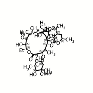 CC[C@H]1CN(C)[C@H](C)[C@@H](O)[C@H](O)[C@@H](CC)OC(=O)[C@H](C)[C@@H](O[C@H]2C[C@@](C)(OC)[C@@H](O)[C@H](C)O2)[C@H](C)[C@@H](O[C@@H]2O[C@H](C)C[C@H](N(C)C)[C@H]2OC(=O)[C@H](C)O)[C@](C)(O)C1